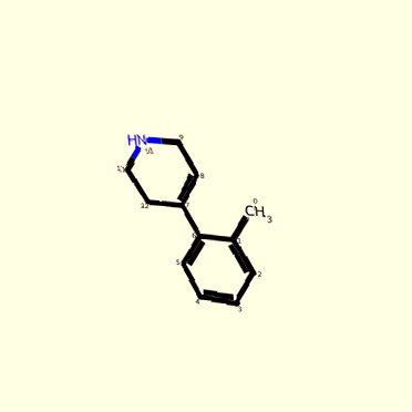 Cc1c[c]ccc1C1=CCNCC1